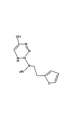 CCCN(CCc1cccs1)N1N=NC(O)=CN1